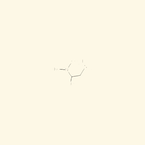 CC(C)C(CN)N(C(=O)O)C(C)(C)C